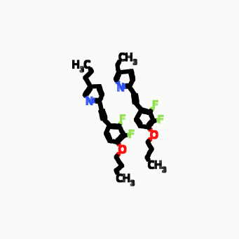 CCCCOc1ccc(C#Cc2ccc(CC)cn2)c(F)c1F.CCCCOc1ccc(C#Cc2ccc(CCC)cn2)c(F)c1F